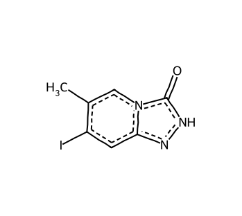 Cc1cn2c(=O)[nH]nc2cc1I